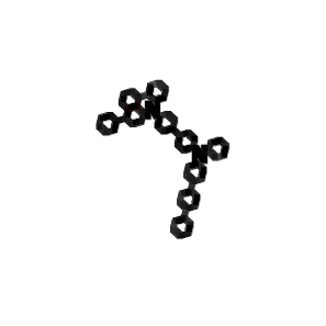 c1ccc(-c2ccc(-c3ccc(N(c4ccccc4)c4ccc(-c5ccc(N(c6ccc(-c7ccccc7)cc6)c6ccccc6-c6ccccc6)cc5)cc4)cc3)cc2)cc1